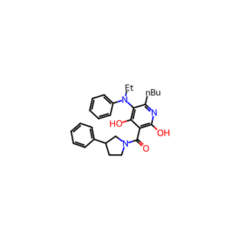 CCCCc1nc(O)c(C(=O)N2CCC(c3ccccc3)C2)c(O)c1N(CC)c1ccccc1